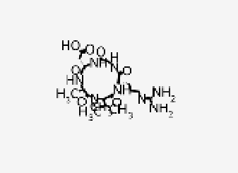 CC(C)C1C(=O)N[C@@H](CCCN=C(N)N)C(=O)NCC(=O)N[C@@H](CC(=O)O)C(=O)N[C@H](C)C(=O)N1C